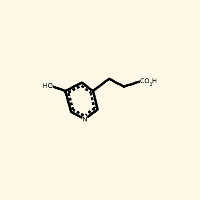 O=C(O)CCc1cncc(O)c1